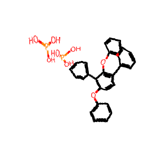 OP(O)O.OP(O)O.c1ccc(Oc2ccc(-c3ccccc3)c(Oc3ccccc3)c2-c2ccccc2)cc1